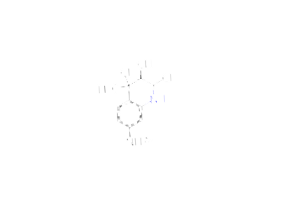 CC(=O)Nc1ccc2c(c1)NC(C)C(C)C2(C)C